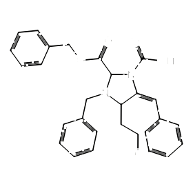 CCCC1C(=Cc2ccccc2)N(C(=O)O)C(C(=O)OCc2ccccc2)N1Cc1ccccc1